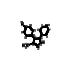 Cc1n[nH]c(-c2ccncc2)c1-c1ccc(F)cc1